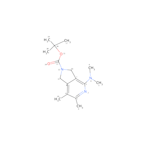 Cc1nc(N(C)C)c2c(c1C)CN(C(=O)OC(C)(C)C)C2